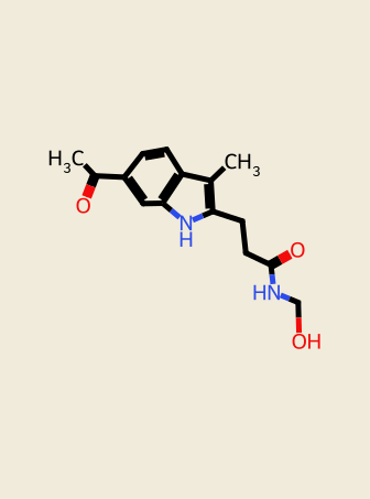 CC(=O)c1ccc2c(C)c(CCC(=O)NCO)[nH]c2c1